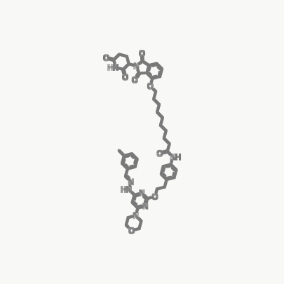 Cc1cccc(/C=N/Nc2cc(N3CCOCC3)nc(OCCc3ccc(NC(=O)CCCCCCCCCOc4cccc5c4C(=O)N(C4CCC(=O)NC4=O)C5=O)cc3)n2)c1